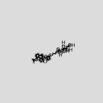 O=C(NCCCCSc1ccc(Cl)c(CNC2(c3cnccc3-c3ccccc3OC3CC3)CC2)c1)NCC(O)C(O)C(O)CCO